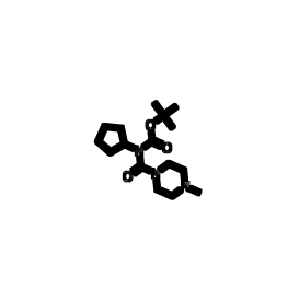 CN1CCN(C(=O)N(C(=O)OC(C)(C)C)C2CCCC2)CC1